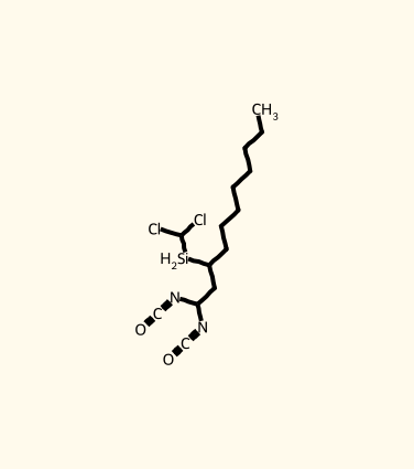 CCCCCCCCC(CC(N=C=O)N=C=O)[SiH2]C(Cl)Cl